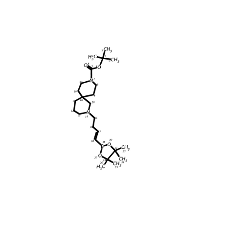 CC(C)(C)OC(=O)N1CCC2(CCCN(CCC=CB3OC(C)(C)C(C)(C)O3)C2)CC1